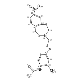 CC(=O)Nc1ccc(OCCN2CCc3ccc([N+](=O)[O-])cc3CC2)cc1C